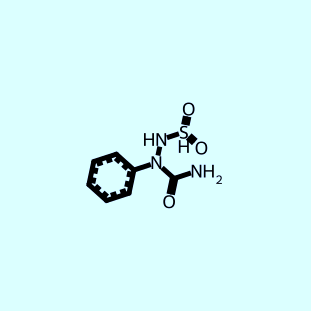 NC(=O)N(N[SH](=O)=O)c1ccccc1